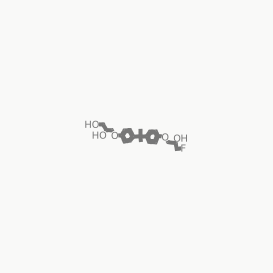 CC(C)(c1ccc(OCC(O)CO)cc1)c1ccc(OCC(O)CF)cc1